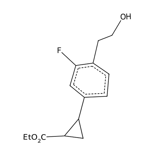 CCOC(=O)C1CC1c1ccc(CCO)c(F)c1